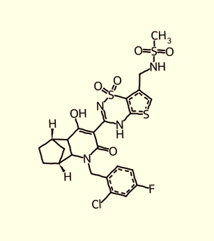 CS(=O)(=O)NCc1csc2c1S(=O)(=O)N=C(C1=C(O)C3C([C@@H]4CC[C@H]3C4)N(Cc3ccc(F)cc3Cl)C1=O)N2